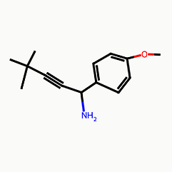 COc1ccc(C(N)C#CC(C)(C)C)cc1